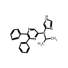 CC(C)N(c1c[nH]cn1)c1cnc(-c2ccccc2)c(-c2ccccc2)n1